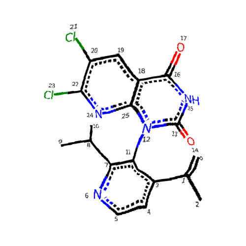 C=C(C)c1ccnc(C(C)C)c1-n1c(=O)[nH]c(=O)c2cc(Cl)c(Cl)nc21